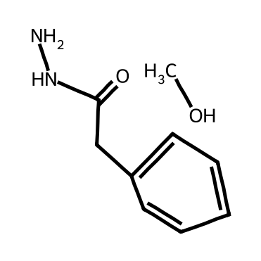 CO.NNC(=O)Cc1ccccc1